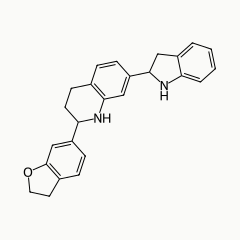 c1ccc2c(c1)CC(c1ccc3c(c1)NC(c1ccc4c(c1)OCC4)CC3)N2